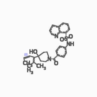 C/C=C\C(=C(C)C)C1(O)CCN(C(=O)c2ccc(NS(=O)(=O)c3cccc4cccnc34)cc2)CC1